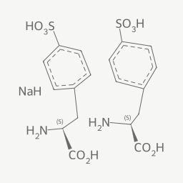 N[C@@H](Cc1ccc(S(=O)(=O)O)cc1)C(=O)O.N[C@@H](Cc1ccc(S(=O)(=O)O)cc1)C(=O)O.[NaH]